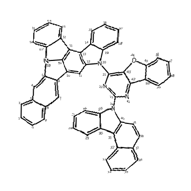 c1ccc2cc3c(cc2c1)c1cc2c(c4ccccc4n2-c2nc(-n4c5ccccc5c5c6ccccc6ccc54)nc4c2oc2ccccc24)c2c4ccccc4n3c12